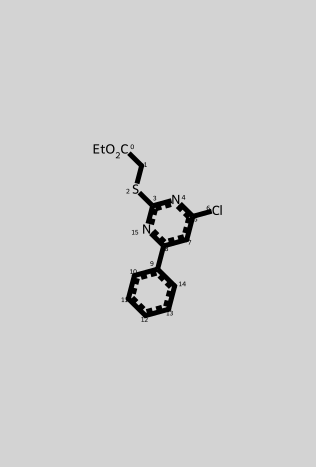 CCOC(=O)CSc1nc(Cl)cc(-c2ccccc2)n1